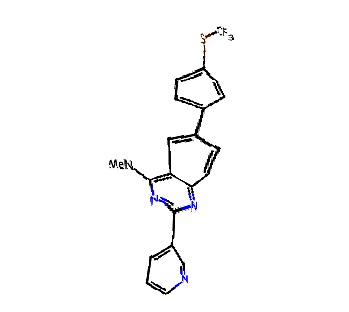 CNc1nc(-c2cccnc2)nc2ccc(-c3ccc(SC(F)(F)F)cc3)cc12